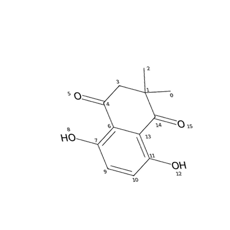 CC1(C)CC(=O)c2c(O)ccc(O)c2C1=O